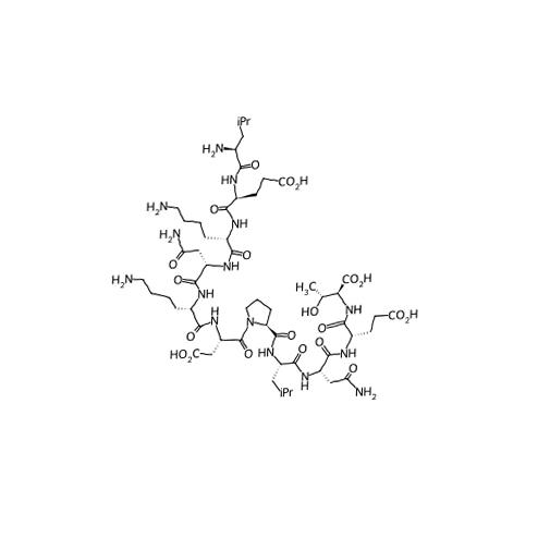 CC(C)C[C@H](NC(=O)[C@@H]1CCCN1C(=O)[C@H](CC(=O)O)NC(=O)[C@H](CCCCN)NC(=O)[C@H](CC(N)=O)NC(=O)[C@H](CCCCN)NC(=O)[C@H](CCC(=O)O)NC(=O)[C@@H](N)CC(C)C)C(=O)N[C@@H](CC(N)=O)C(=O)N[C@@H](CCC(=O)O)C(=O)N[C@H](C(=O)O)[C@@H](C)O